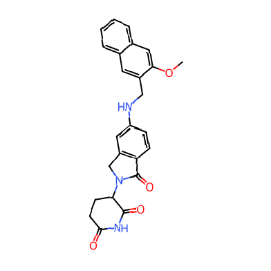 COc1cc2ccccc2cc1CNc1ccc2c(c1)CN(C1CCC(=O)NC1=O)C2=O